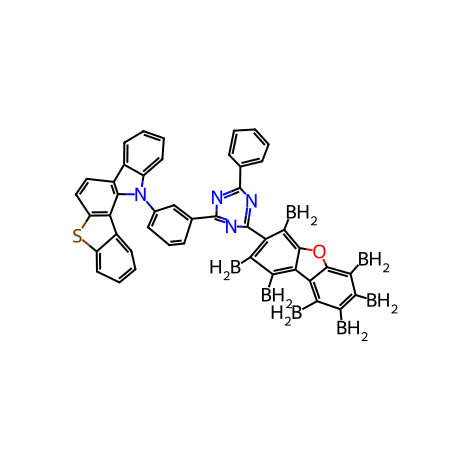 Bc1c(B)c(B)c2c(oc3c(B)c(-c4nc(-c5ccccc5)nc(-c5cccc(-n6c7ccccc7c7ccc8sc9ccccc9c8c76)c5)n4)c(B)c(B)c32)c1B